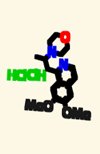 COc1cc2ccnc(CC(C)N3CCOCC3)c2cc1OC.Cl.Cl